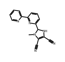 CN1C(C#N)=C(C#N)NC1c1cccc(-c2ccccn2)n1